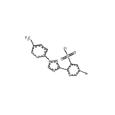 CCS(=O)(=O)c1cc(Br)cnc1-c1ncn(-c2ccc(C(F)(F)F)cn2)n1